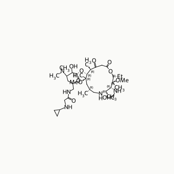 CC[C@H]1OC(=O)CC(=O)[C@H](C)[C@@H](O[C@@H]2OC(CNC(=O)CNC3CC3)CC(N(C)C)C2O)[C@](C)(OC)C[C@@H](C)CN[C@H](C)[C@@H](NC=O)[C@]1(C)OC